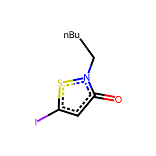 CCCCCn1sc(I)cc1=O